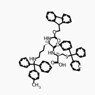 Cc1ccc(C(NCCCC[C@H](NC(=O)OCC2c3ccccc3-c3ccccc32)C(=O)N[C@@H](CSC(c2ccccc2)(c2ccccc2)c2ccccc2)C(=O)O)(c2ccccc2)c2ccccc2)cc1